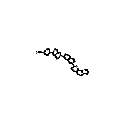 N#Cc1ccc(-c2ccc3cc(-c4ccc5ccc(-c6ccc7ccc8cccnc8c7n6)cc5c4)ccc3c2)cc1